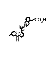 Cc1ccnc(Nc2cccc(-c3cnc(N4CCc5c(CCC(=O)O)cccc5C4)s3)n2)c1